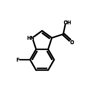 O=C(O)c1c[nH]c2c(F)cccc12